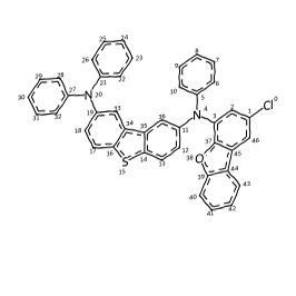 Clc1cc(N(c2ccccc2)c2ccc3sc4ccc(N(c5ccccc5)c5ccccc5)cc4c3c2)c2oc3ccccc3c2c1